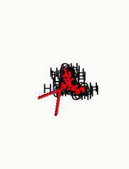 CCCCCCCCCCCCC/C=C/[C@@H](O)[C@H](CO[C@@H]1OC(CO)[C@@H](O[C@@H]2OC(CO)[C@H](O[C@@H]3OC(CO)[C@H](O)[C@H](O[C@@H]4OC(CO)[C@H](O)[C@H](O)C4O[C@H]4OC(C)[C@@H](O)C(O)[C@@H]4O)C3NC(C)=O)[C@H](O[C@]3(C(=O)O)CC(O)[C@@H](NC(C)=O)C([C@H](O)[C@@H](CO)O[C@]4(C(=O)O)CC(O)[C@@H](NC(C)=O)C([C@H](O)[C@H](O)CO)O4)O3)C2O)[C@H](O)C1O)NC(=O)CCCCCCCCCCCCCCCCC